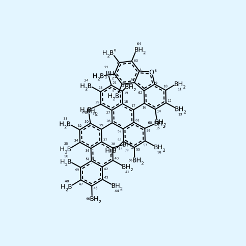 Bc1c(B)c(B)c2c(oc3c(B)c(B)c(B)c(-c4c5c(B)c(B)c(B)c(B)c5c(-c5c(B)c(B)c(B)c6c5c(B)c(B)c5c(B)c(B)c(B)c(B)c56)c5c(B)c(B)c(B)c(B)c45)c32)c1B